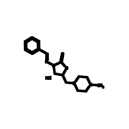 CN1CCN(CC2CN(N=Cc3ccccc3)C(=O)O2)CC1.Cl